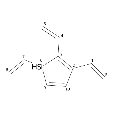 C=CC1=C(C=C)[SiH](C=C)C=C1